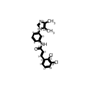 Cc1ncn(-c2cccc(NC(=O)C=Cc3cccc(Cl)c3Cl)c2)c1C